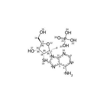 C[C@@]1(n2cnc3c(N)ncnc32)O[C@H](CO)[C@@H](O)[C@H]1S.O=P(O)(O)O